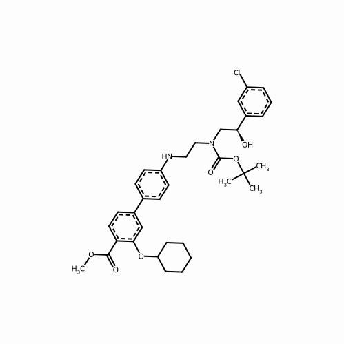 COC(=O)c1ccc(-c2ccc(NCCN(C[C@H](O)c3cccc(Cl)c3)C(=O)OC(C)(C)C)cc2)cc1OC1CCCCC1